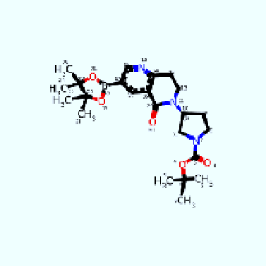 CC(C)(C)OC(=O)N1CC[C@H](N2CCc3ncc(B4OC(C)(C)C(C)(C)O4)cc3C2=O)C1